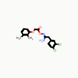 Cc1cccc(OCC(=O)O/N=C(\N)Cc2ccc(Cl)c(Cl)c2)c1C